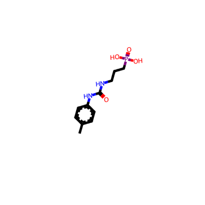 Cc1ccc(NC(=O)NCCCP(=O)(O)O)cc1